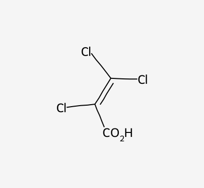 O=C(O)C(Cl)=C(Cl)Cl